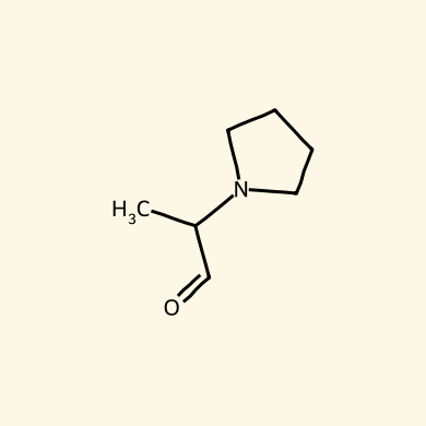 CC(C=O)N1CCCC1